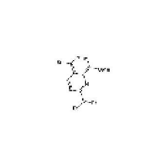 CCN(CC)c1ncc2c(Br)ccc(OC)c2n1